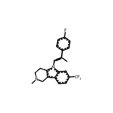 CC(=Cn1c2c(c3ccc(C(F)(F)F)cc31)CN(C)CC2)c1ccc(F)cc1